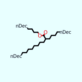 CCCCCCCCCCCCCCCCCCC(CCCCCCCCCCCCCC)C(=O)OCCCCCCCCCCCCCC